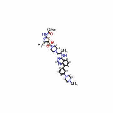 COC(=O)Nc1nc(C)c(S(=O)(=O)N2CCN(CC(C)Nc3ncnc4c(-c5cccc(N6CCN(C)CC6)c5)cccc34)CC2)s1